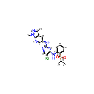 Cc1nn(C)c2ncc(Nc3ncc(Br)c(Nc4ccccc4S(=O)(=O)C(C)C)n3)cc12